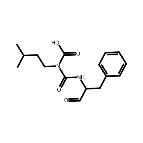 CC(C)CCN(C(=O)O)C(=O)NC(C=O)Cc1ccccc1